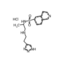 CC(CNCCc1c[nH]nn1)NS(=O)(=O)c1ccc2cnccc2c1.Cl